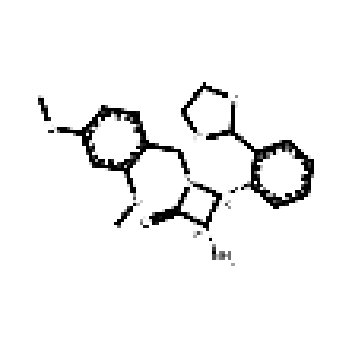 COc1ccc(CN2C(=O)[C@@H](N)[C@H]2c2ccccc2C2OCCO2)c(OC)c1